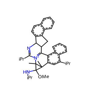 COC1(NC(C)C)C2(C)c3cc(C(C)C)c4ccccc4c3C3=[N+](C(C(C)C)=NC4c5ccc6ccccc6c5CC34)C12C